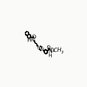 CCONC(=O)c1cccc(N2CCN(CCCCNC(=O)C3=Cc4ccccc4CC3)CC2)c1